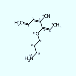 C=C/C=C(C#N)\C(=C/C)OCCCN